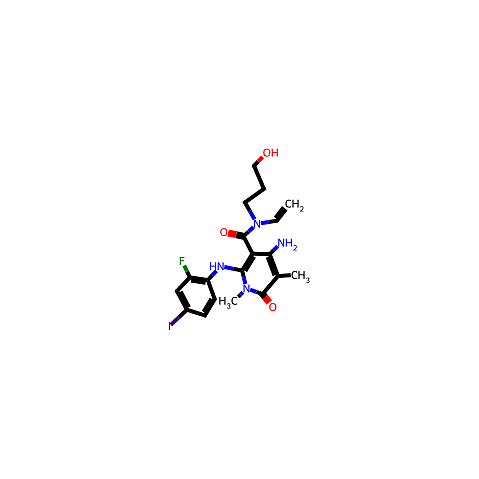 C=CN(CCCO)C(=O)c1c(N)c(C)c(=O)n(C)c1Nc1ccc(I)cc1F